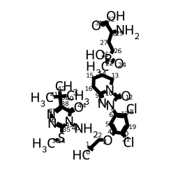 C#CCOc1cc(-n2nc3n(c2=O)CCCC3)c(Cl)cc1Cl.CP(=O)(O)CCC(N)C(=O)O.CSc1nnc(C(C)(C)C)c(=O)n1N